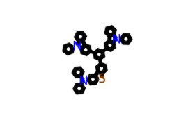 c1ccc(N(c2ccccc2)c2ccc3sc4ccc(-c5cc(-c6ccc7c(c6)c6ccccc6n7-c6ccccc6)cc(-c6ccc7c(c6)c6ccccc6n7-c6ccccc6)c5)cc4c3c2)cc1